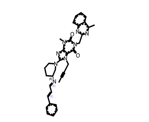 CC#CCn1c(N2CCC[C@@H](/N=C/C=C/c3ccccc3)C2)nc2c1c(=O)n(Cc1nc(C)c3ccccc3n1)c(=O)n2C